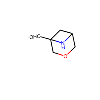 O=[C]C12COCC(C1)N2